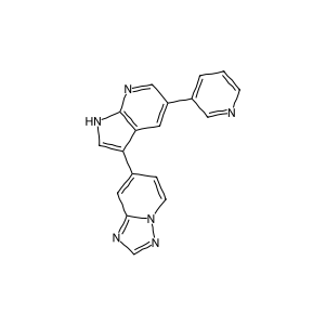 c1cncc(-c2cnc3[nH]cc(-c4ccn5ncnc5c4)c3c2)c1